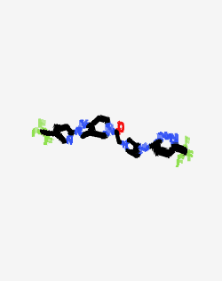 O=C(CN1CC2CC1CN2c1ccc(C(F)(F)F)nn1)N1CCc2nn(-c3ccc(C(F)(F)F)cn3)cc2C1